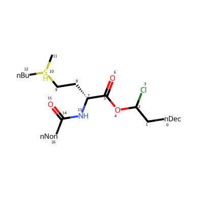 CCCCCCCCCCCC(Cl)OC(=O)[C@@H](CC[SH](C)CCCC)NC(=O)CCCCCCCCC